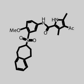 COc1ccc(NC(=O)c2[nH]c(C)c(C(C)=O)c2C)cc1S(=O)(=O)C1CCc2ccccc2CC1